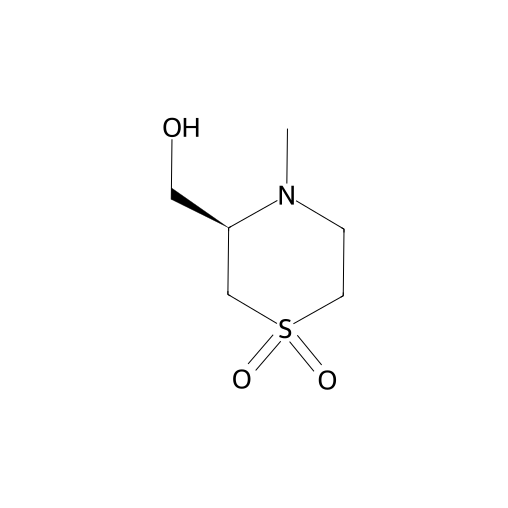 CN1CCS(=O)(=O)C[C@H]1CO